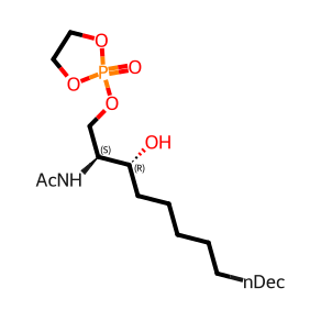 CCCCCCCCCCCCCCC[C@@H](O)[C@H](COP1(=O)OCCO1)NC(C)=O